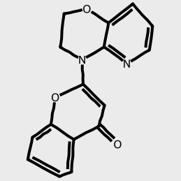 O=c1cc(N2CCOc3cccnc32)oc2ccccc12